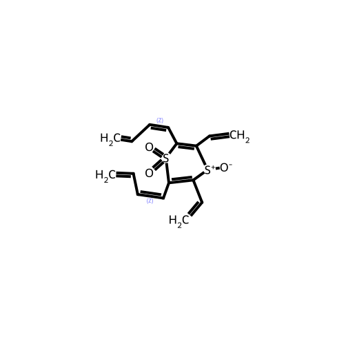 C=C/C=C\C1=C(C=C)[S+]([O-])C(C=C)=C(/C=C\C=C)S1(=O)=O